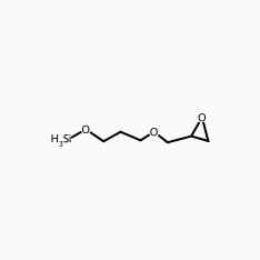 [SiH3]OCCCOCC1CO1